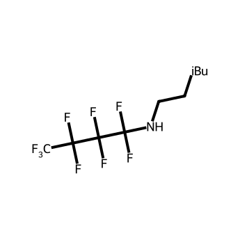 CCC(C)CCNC(F)(F)C(F)(F)C(F)(F)C(F)(F)F